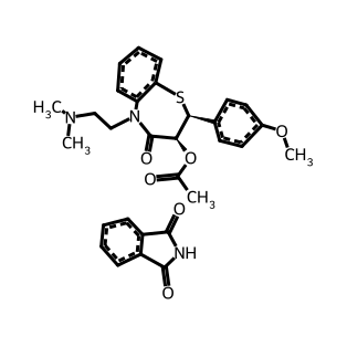 COc1ccc([C@@H]2Sc3ccccc3N(CCN(C)C)C(=O)[C@@H]2OC(C)=O)cc1.O=C1NC(=O)c2ccccc21